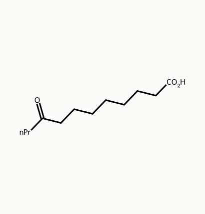 CCCC(=O)CCCCCCCC(=O)O